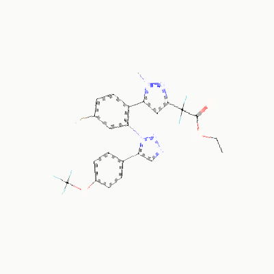 CCOC(=O)C(F)(F)c1cc(-c2ccc(Br)cc2-n2nncc2-c2ccc(OC(F)(F)F)cc2)n(C)n1